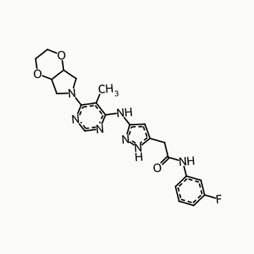 Cc1c(Nc2cc(CC(=O)Nc3cccc(F)c3)[nH]n2)ncnc1N1CC2OCCOC2C1